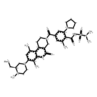 COC[C@H]1CN(c2cc(C)c3c4c(c(=O)oc3c2C)CN(C(=O)c2cc(C)c(C(=O)NS(=O)(=O)N(C)C)c(N3CCCC3)c2)CC4)CCN1C